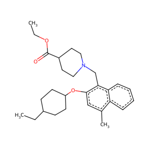 CCOC(=O)C1CCN(Cc2c(OC3CCC(CC)CC3)cc(C)c3ccccc23)CC1